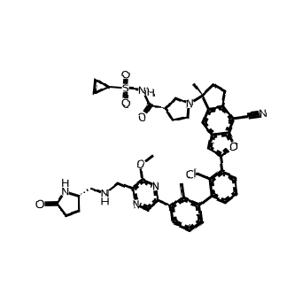 COc1nc(-c2cccc(-c3cccc(-c4cc5cc6c(c(C#N)c5o4)CC[C@@]6(C)N4CC[C@@H](C(=O)NS(=O)(=O)C5CC5)C4)c3Cl)c2C)cnc1CNC[C@@H]1CCC(=O)N1